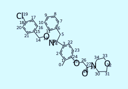 Cc1cc(C(Cc2ccccc2)=NOCc2ccc(Cl)cc2)ccc1OCC(=O)N1CCOCC1